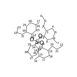 CCCC1CCC(C)CC1O[Si](OC1CC(C)CCC1CCC)(OC1CC(C)CCC1CCC)C1CCCCC1